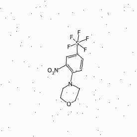 O=[N+]([O-])c1cc(S(F)(F)(F)(F)F)ccc1N1CCOCC1